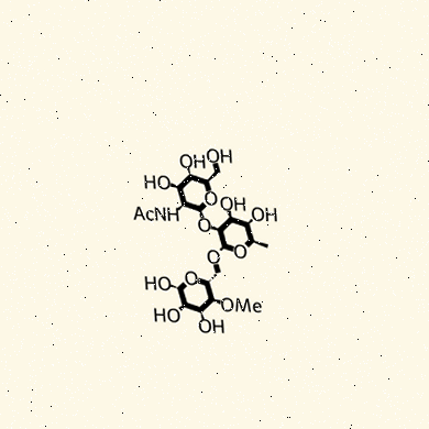 CO[C@H]1[C@H](O)[C@@H](O)[C@H](O)O[C@@H]1CO[C@H]1O[C@H](C)[C@@H](O)[C@H](O)[C@@H]1O[C@@H]1O[C@H](CO)[C@@H](O)[C@H](O)[C@H]1NC(C)=O